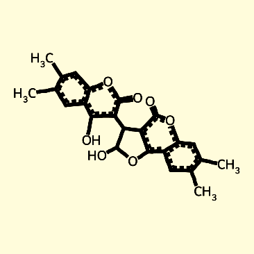 Cc1cc2oc(=O)c(C3c4c(c5cc(C)c(C)cc5oc4=O)OC3O)c(O)c2cc1C